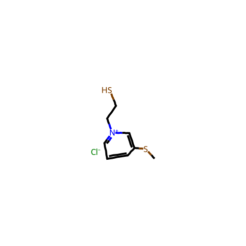 CSc1ccc[n+](CCS)c1.[Cl-]